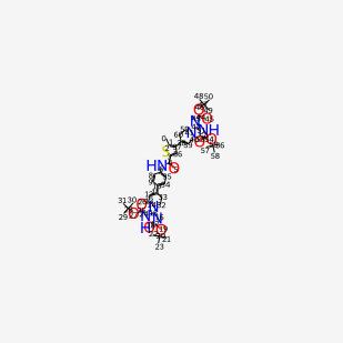 Cc1sc(C(=O)Nc2ccc(C3=CCN(C(=NC(=O)OC(C)(C)C)NC(=O)OC(C)(C)C)CC3)cc2)cc1C1=CCN(C(=NC(=O)OC(C)(C)C)NC(=O)OC(C)(C)C)CC1